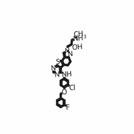 CNC[C@@H](O)Cn1cc2c(n1)CCc1c-2sc2ncnc(Nc3ccc(OCc4cccc(F)c4)c(Cl)c3)c12